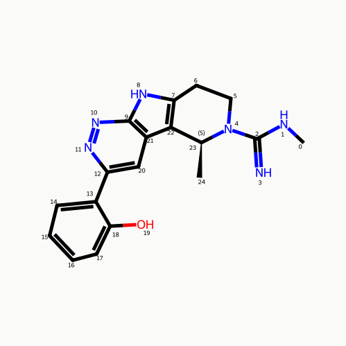 CNC(=N)N1CCc2[nH]c3nnc(-c4ccccc4O)cc3c2[C@@H]1C